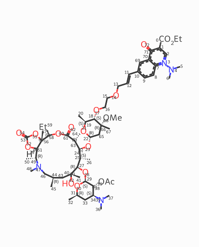 CCOC(=O)c1cn(N(C)C)c2ccc(C=CCOCCO[C@H]3[C@H](C)O[C@@H](O[C@H]4[C@H](C)[C@@H](O[C@@H]5O[C@H](C)C[C@H](N(C)C)[C@H]5OC(C)=O)[C@](C)(O)C[C@@H](C)CN(C)[C@H](C)[C@H]5OC(=O)O[C@]5(C)[C@@H](CC)OC(=O)[C@@H]4C)C[C@@]3(C)OC)cc2c1=O